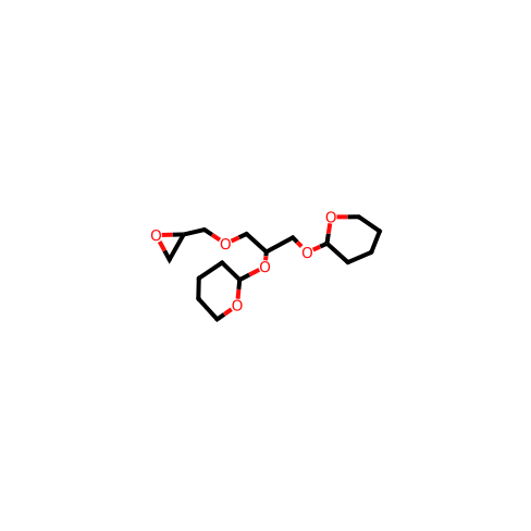 C1CCC(OCC(COCC2CO2)OC2CCCCO2)OC1